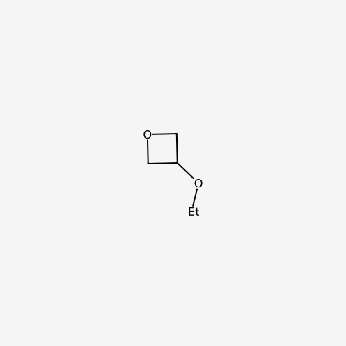 [CH2]COC1COC1